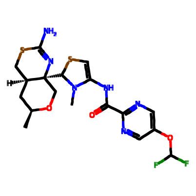 C[C@H]1C[C@H]2CSC(N)=N[C@@]2(C2SC=C(NC(=O)c3ncc(OC(F)F)cn3)N2C)CO1